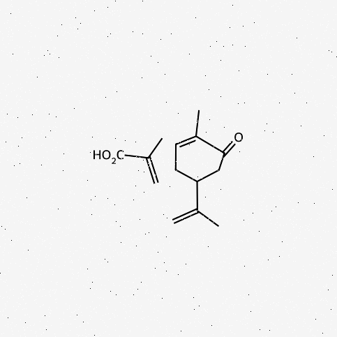 C=C(C)C(=O)O.C=C(C)C1CC=C(C)C(=O)C1